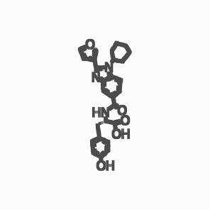 O=C(N[C@@H](Cc1ccc(O)cc1)C(=O)O)c1ccc2c(c1)nc(-c1ccoc1)n2C1CCCCC1